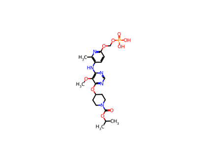 COc1c(Nc2ccc(OCOP(=O)(O)O)nc2C)ncnc1OC1CCN(C(=O)OC(C)C)CC1